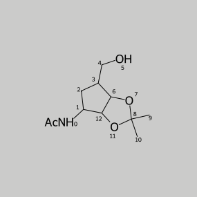 CC(=O)NC1CC(CO)C2OC(C)(C)OC12